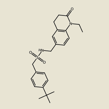 CCN1C(=O)CCc2cc(CNS(=O)(=O)Cc3ccc(C(C)(C)C)cc3)ccc21